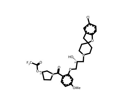 COc1ccc(C(=O)N2CC[C@H](OC(=O)C(F)(F)F)C2)c(OC[C@H](O)CN2CCC3(CC2)Cc2cc(Cl)ccc2O3)c1